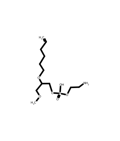 C=CCCCCOC(COC)COP(=O)(O)OCCN